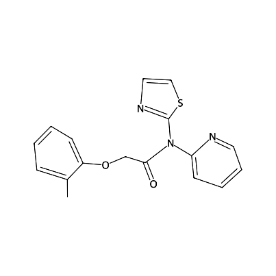 Cc1ccccc1OCC(=O)N(c1ccccn1)c1nccs1